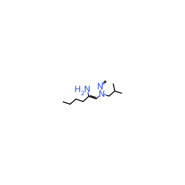 C=NN(/C=C(\N)CCCC)CC(C)C